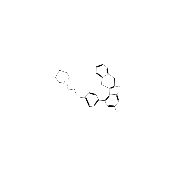 Oc1cc(-c2ccc(OCCN3CCCCC3)cc2)c2c3c(sc2c1)Cc1ccccc1C3